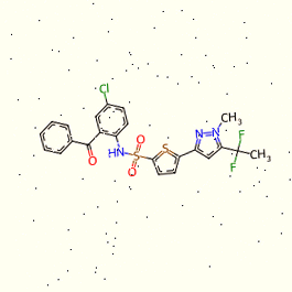 Cn1nc(-c2ccc(S(=O)(=O)Nc3ccc(Cl)cc3C(=O)c3ccccc3)s2)cc1C(C)(F)F